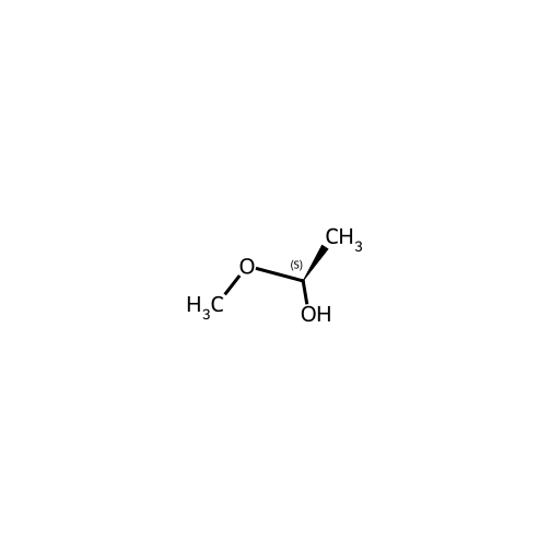 CO[C@@H](C)O